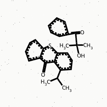 CC(C)(O)C(=O)c1ccccc1.CC(C)c1cccc2sc3ccccc3c(=O)c12